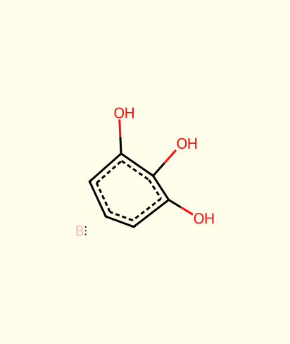 Oc1cccc(O)c1O.[B]